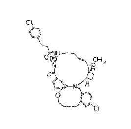 CO[C@H]1/C=C/CCC[S@@](=O)(NC(=O)CCc2ccc(Cl)cc2)=NC(=O)c2ccc3c(c2)N(Cc2ccc(Cl)cc2CCCCO3)C[C@@H]2CC[C@H]21